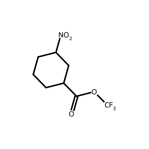 O=C(OC(F)(F)F)C1CCCC([N+](=O)[O-])C1